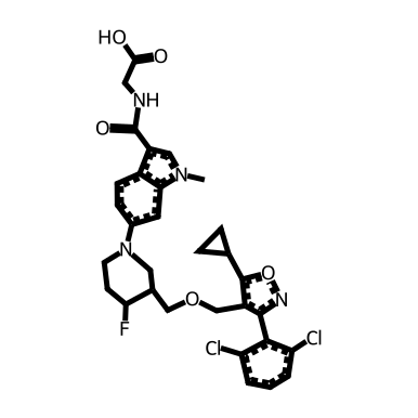 Cn1cc(C(=O)NCC(=O)O)c2ccc(N3CCC(F)C(COCc4c(-c5c(Cl)cccc5Cl)noc4C4CC4)C3)cc21